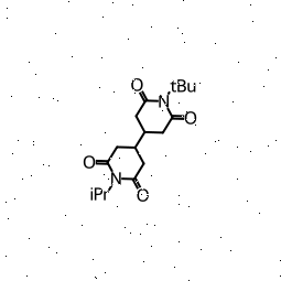 CC(C)N1C(=O)CC(C2CC(=O)N(C(C)(C)C)C(=O)C2)CC1=O